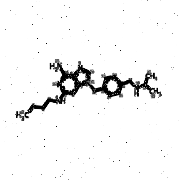 CCCCNc1cc2c(ncn2Cc2ccc(CNC(C)C)cc2)c(N)n1